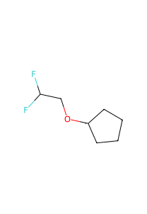 FC(F)CO[C]1CCCC1